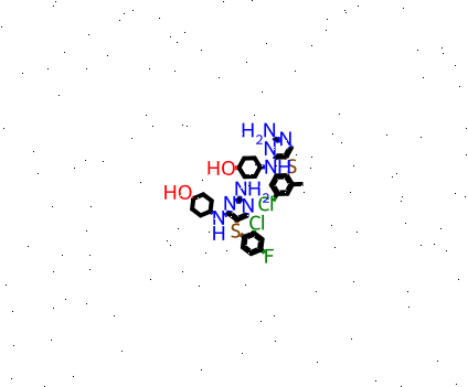 Cc1cc(Cl)ccc1Sc1cnc(N)nc1NC1CCC(O)CC1.Nc1ncc(Sc2ccc(F)cc2Cl)c(NC2CCC(O)CC2)n1